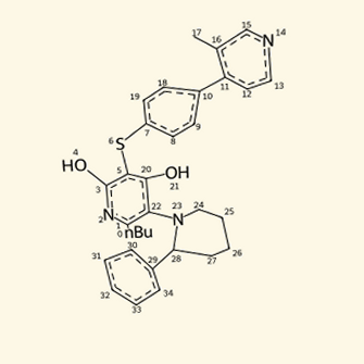 CCCCc1nc(O)c(Sc2ccc(-c3ccncc3C)cc2)c(O)c1N1CCCCC1c1ccccc1